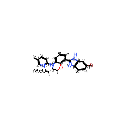 COC[C@H]1COc2c(-c3nc4ccc(Br)cc4[nH]3)cccc2N1c1ccc(C)cn1